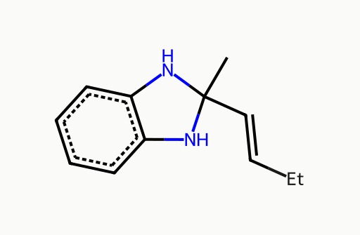 CCC=CC1(C)Nc2ccccc2N1